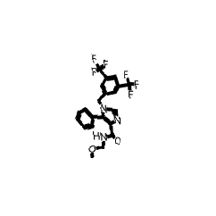 COCNC(=O)c1ncn(Cc2cc(C(F)(F)F)cc(C(F)(F)F)c2)c1-c1ccccc1